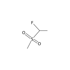 CC(F)S(C)(=O)=O